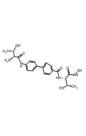 C[C@@H](O)[C@H](N)C(=O)Nc1ccc(-c2ccc(C(=O)N[C@H](C(=O)NO)[C@@H](C)O)cc2)cc1